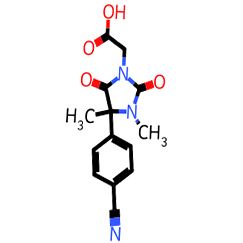 CN1C(=O)N(CC(=O)O)C(=O)C1(C)c1ccc(C#N)cc1